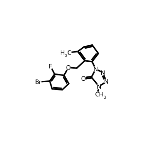 Cc1cccc(-n2nnn(C)c2=O)c1COc1cccc(Br)c1F